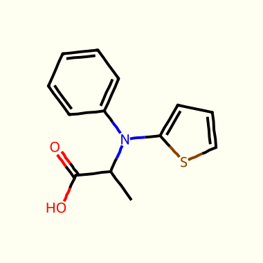 CC(C(=O)O)N(c1ccccc1)c1cccs1